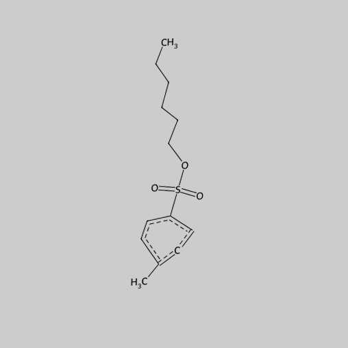 CCCCCCOS(=O)(=O)c1ccc(C)cc1